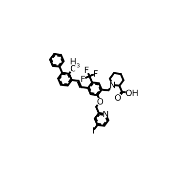 Cc1c(C=Cc2cc(OCc3cc(I)ccn3)c(CN3CCCCC3C(=O)O)cc2C(F)(F)F)cccc1-c1ccccc1